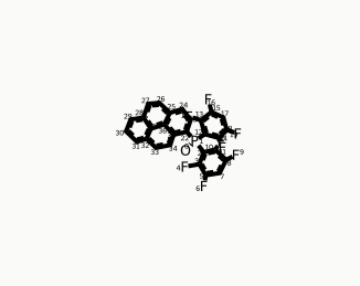 O=P(c1c(F)c(F)cc(F)c1F)(c1c(F)c(F)cc(F)c1F)c1ccc2ccc3cccc4ccc1c2c34